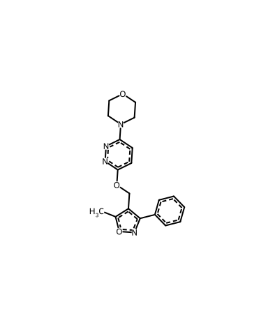 Cc1onc(-c2ccccc2)c1COc1ccc(N2CCOCC2)nn1